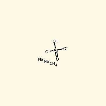 C.O=[As]([O-])([O-])O.[Na+].[Na+]